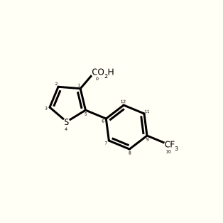 O=C(O)c1ccsc1-c1ccc(C(F)(F)F)cc1